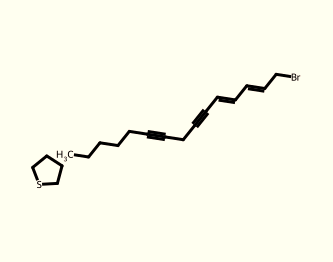 C1CCSC1.CCCCCC#CCC#C/C=C/C=C/CBr